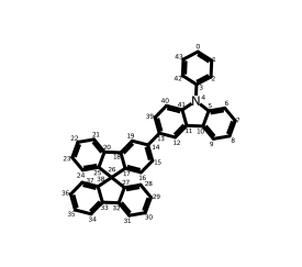 c1ccc(-n2c3ccccc3c3cc(-c4ccc5c(c4)-c4ccccc4C54c5ccccc5-c5ccccc54)ccc32)cc1